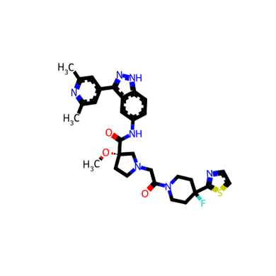 CO[C@@]1(C(=O)Nc2ccc3[nH]nc(-c4cc(C)nc(C)c4)c3c2)CCN(CC(=O)N2CCC(F)(c3nccs3)CC2)C1